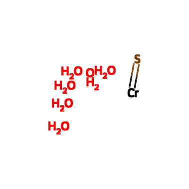 O.O.O.O.O.O.[S]=[Cr]